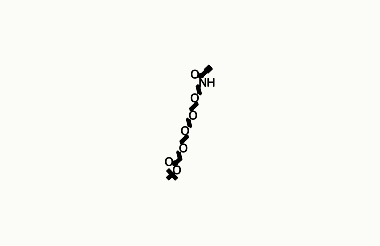 C#CC(=O)NCCOCCOCCOCCOCCC(=O)OC(C)(C)C